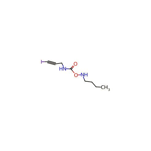 CCCCNOC(=O)NCC#CI